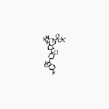 CC(C)(C)OC(=O)N1Cc2cc(C3(Cl)CCC(c4noc5cc(F)ccc45)CC3)ccc2-n2cnnc2C1